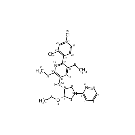 CCO[C@H]1CN(c2ccccn2)C[C@H]1Nc1nc(CC)c(-c2ccc(Cl)cc2Cl)nc1CC